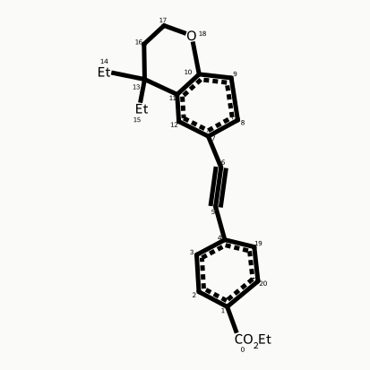 CCOC(=O)c1ccc(C#Cc2ccc3c(c2)C(CC)(CC)CCO3)cc1